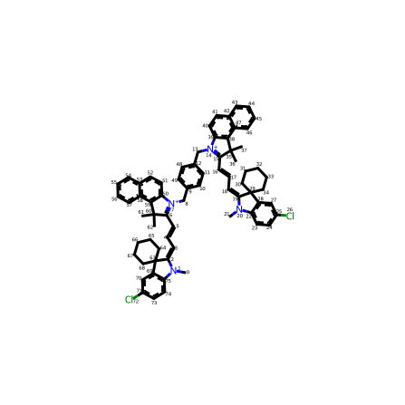 CN1/C(=C/C=C/C2=[N+](Cc3ccc(C[N+]4=C(/C=C/C=C5/N(C)c6ccc(Cl)cc6C56CCCCC6)C(C)(C)c5c4ccc4ccccc54)cc3)c3ccc4ccccc4c3C2(C)C)C2(CCCCC2)c2cc(Cl)ccc21